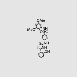 COc1cc(NS(=O)(=O)c2ccc(NC(=S)NC(=O)c3ccccc3O)cc2)nc(OC)n1